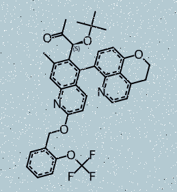 CC(=O)[C@@H](OC(C)(C)C)c1c(C)cc2nc(OCc3ccccc3OC(F)(F)F)ccc2c1-c1ccc2c3c(ccnc13)CCO2